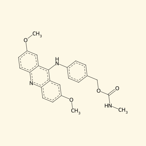 CNC(=O)OCc1ccc(Nc2c3cc(OC)ccc3nc3ccc(OC)cc23)cc1